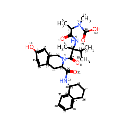 CC(C(=O)NC(C)(C(=O)N1Cc2cc(O)ccc2CC1C(=O)N[C@@H]1CCCc2ccccc21)C(C)C)N(C)C(=O)O